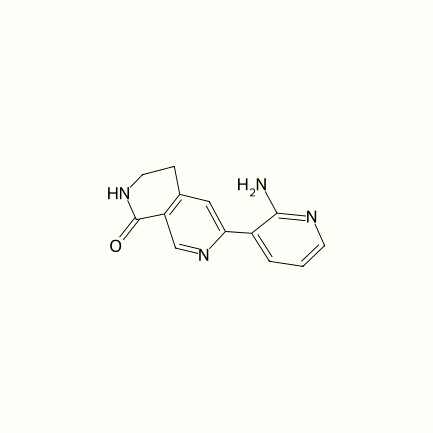 Nc1ncccc1-c1cc2c(cn1)C(=O)NCC2